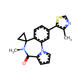 Cc1ncsc1-c1ccc2c(c1)-n1cccc1C(=O)N(C)C21CC1